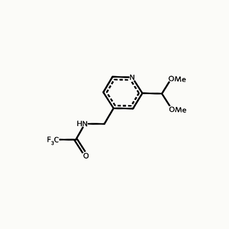 COC(OC)c1cc(CNC(=O)C(F)(F)F)ccn1